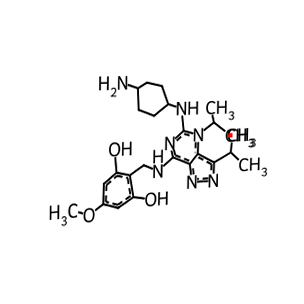 COc1cc(O)c(CNc2nc(NC3CCC(N)CC3)n(C(C)C)c3c(C(C)C)nnc2-3)c(O)c1